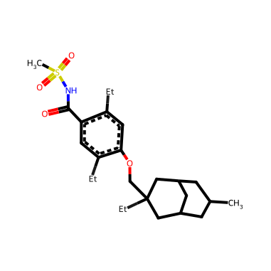 CCc1cc(C(=O)NS(C)(=O)=O)c(CC)cc1OCC1(CC)CC2CC(C)CC(C2)C1